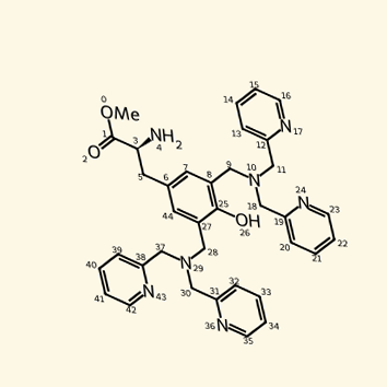 COC(=O)[C@@H](N)Cc1cc(CN(Cc2ccccn2)Cc2ccccn2)c(O)c(CN(Cc2ccccn2)Cc2ccccn2)c1